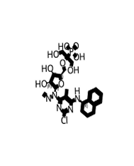 C=NN(c1nc(Cl)nc(N[C@@H]2CCCc3ccccc32)c1C)[C@@H]1O[C@H](COC(CO)(CO)P(=O)(O)O)[C@@H](O)[C@H]1O